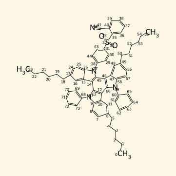 CCCCCCc1ccc2c(c1)c1c(c3c4cc(CCCCCC)ccc4n(-c4ccc(S(=O)(=O)c5ccccc5C#N)cc4)c3c3c4cc(CCCCCC)ccc4n(-c4ccccc4)c13)n2-c1ccccc1